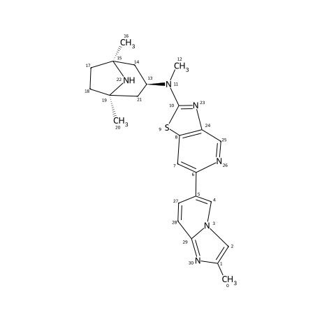 Cc1cn2cc(-c3cc4sc(N(C)[C@@H]5C[C@]6(C)CC[C@](C)(C5)N6)nc4cn3)ccc2n1